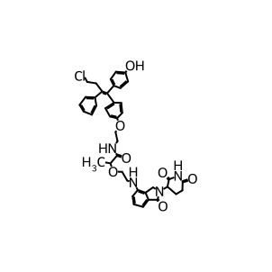 CC(OCCNc1cccc2c1CN(C1CCC(=O)NC1=O)C2=O)C(=O)NCCOc1ccc(C(=C(CCCl)c2ccccc2)c2ccc(O)cc2)cc1